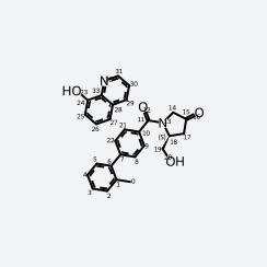 Cc1ccccc1-c1ccc(C(=O)N2CC(=O)C[C@H]2CO)cc1.Oc1cccc2cccnc12